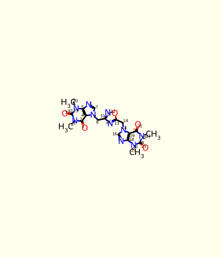 Cn1c(=O)c2c(ncn2Cc2noc(Cn3cnc4c3c(=O)n(C)c(=O)n4C)n2)n(C)c1=O